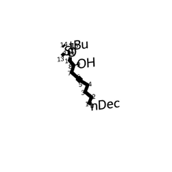 CCCCCCCCCCCCCCC#CC[C@@H](O)CO[Si](C)(C)C(C)(C)C